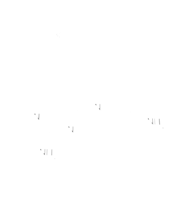 Nc1nc(Cc2ccsc2)cc(N2CCC(N)C2)n1